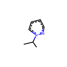 CC(C)[n+]1ccccn1